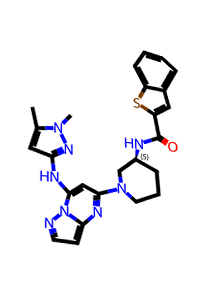 Cc1cc(Nc2cc(N3CCC[C@H](NC(=O)c4cc5ccccc5s4)C3)nc3ccnn23)nn1C